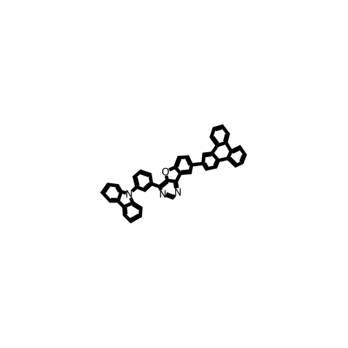 c1cc(-c2ncnc3c2oc2ccc(-c4ccc5c6ccccc6c6ccccc6c5c4)cc23)cc(-n2c3ccccc3c3ccccc32)c1